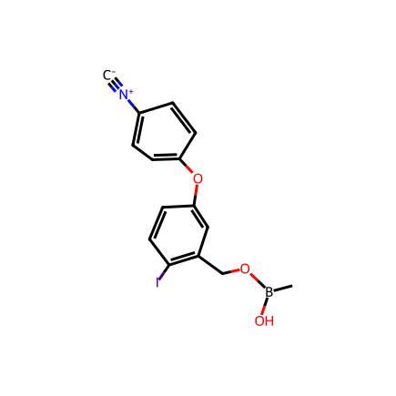 [C-]#[N+]c1ccc(Oc2ccc(I)c(COB(C)O)c2)cc1